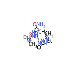 CCn1nc(C)cc1C(=O)Nc1nc2cc(C(N)=O)cc(C)c2n1CC=CCn1c2ccccc2c2cnc(-c3cc(C)nn3CC)nc21